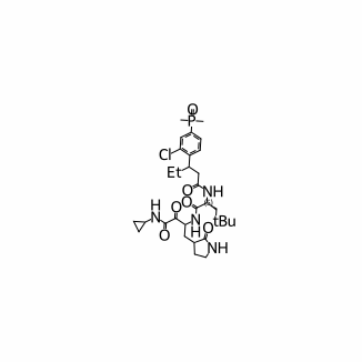 CCC(CC(=O)N[C@@H](CC(C)(C)C)C(=O)NC(CC1CCNC1=O)C(=O)C(=O)NC1CC1)c1ccc(P(C)(C)=O)cc1Cl